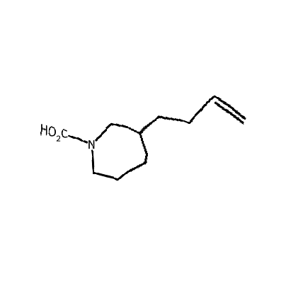 C=CCCC1CCCN(C(=O)O)C1